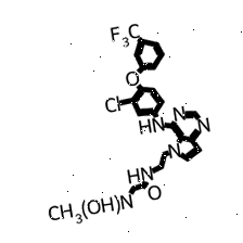 CN(O)CC(=O)NCCn1ccc2ncnc(Nc3ccc(Oc4cccc(C(F)(F)F)c4)c(Cl)c3)c21